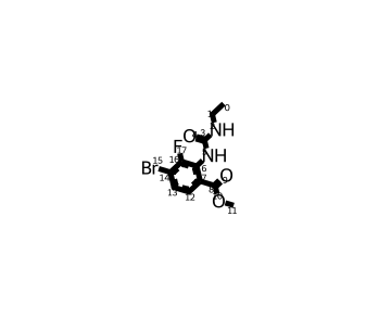 CCNC(=O)Nc1c(C(=O)OC)ccc(Br)c1F